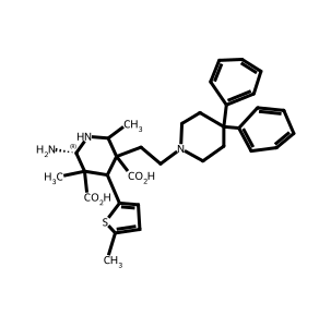 Cc1ccc(C2C(CCN3CCC(c4ccccc4)(c4ccccc4)CC3)(C(=O)O)C(C)N[C@@H](N)C2(C)C(=O)O)s1